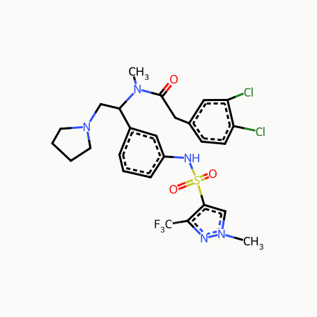 CN(C(=O)Cc1ccc(Cl)c(Cl)c1)C(CN1CCCC1)c1cccc(NS(=O)(=O)c2cn(C)nc2C(F)(F)F)c1